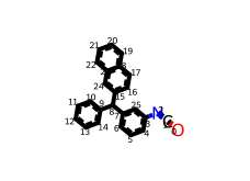 O=C=Nc1cccc(C(c2ccccc2)c2ccc3ccccc3c2)c1